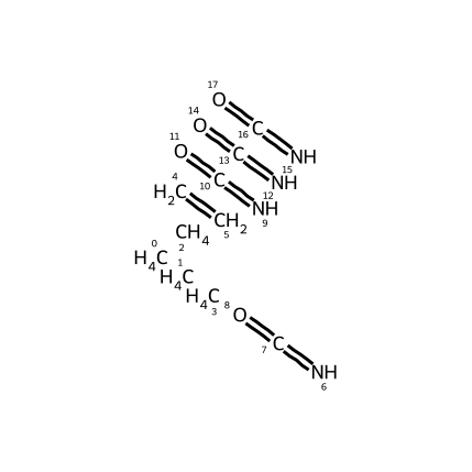 C.C.C.C.C=C.N=C=O.N=C=O.N=C=O.N=C=O